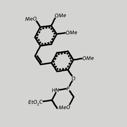 CCOC(=O)C(C)NP(COC)Oc1cc(/C=C\c2cc(OC)c(OC)c(OC)c2)ccc1OC